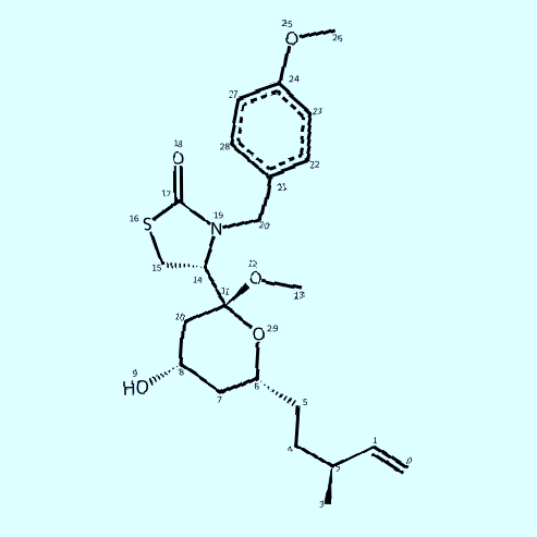 C=C[C@@H](C)CC[C@@H]1C[C@H](O)C[C@](OC)([C@@H]2CSC(=O)N2Cc2ccc(OC)cc2)O1